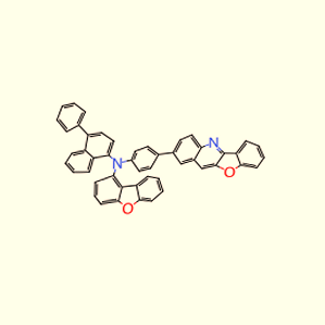 c1ccc(-c2ccc(N(c3ccc(-c4ccc5nc6c(cc5c4)oc4ccccc46)cc3)c3cccc4oc5ccccc5c34)c3ccccc23)cc1